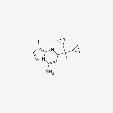 Cc1cnn2c(N)cc(C(C)(C3CC3)C3CC3)nc12